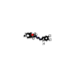 CO/C(=C\C=C\c1cc2cc(Cl)c(Cl)cc2[nH]1)C(=O)NC1C2CN(C)CC1CN(C)C2